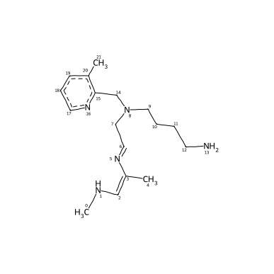 CN/C=C(C)\N=C\CN(CCCCN)Cc1ncccc1C